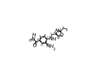 CCc1nc(CNc2ccc(C(=O)NC)cc2N)co1